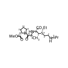 CCCNCCSC[C@H](N[C@@H](C)C(=O)N1CCC[C@H]1C(=O)OC)C(=O)OCC